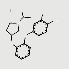 CC(C(=O)O)N1CCC(Oc2ccccc2Sc2ccc(Cl)c(Cl)c2)C1